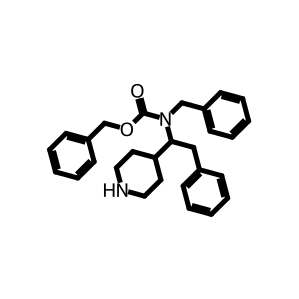 O=C(OCc1ccccc1)N(Cc1ccccc1)C(Cc1ccccc1)C1CCNCC1